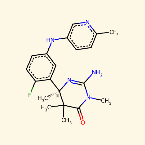 CN1C(=O)C(C)(C)[C@@](C)(c2cc(Nc3ccc(C(F)(F)F)nc3)ccc2F)N=C1N